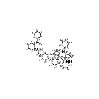 N=C(c1ccccc1)c1ccccc1NCc1ccc(-c2ccc3c(c2)C2(C4=C3C=CCN4)c3ccccc3N(c3ccccc3)c3ccccc32)cc1